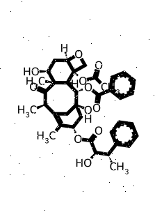 CC(=O)O[C@@]12CO[C@@H]1C[C@H](O)[C@@]1(C)C(=O)[C@H](C)C3=C(C)[C@@H](OC(=O)[C@H](O)[C@@H](C)c4ccccc4)C[C@](O)(C3)[C@@H](OC(=O)c3ccccc3)[C@H]21